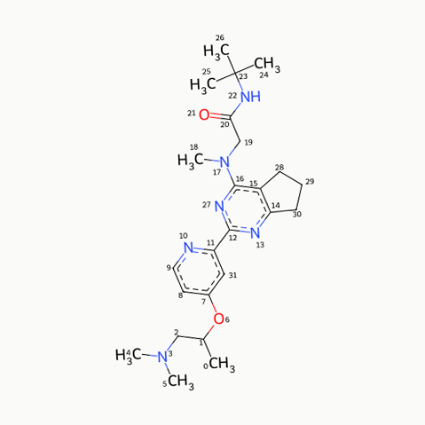 CC(CN(C)C)Oc1ccnc(-c2nc3c(c(N(C)CC(=O)NC(C)(C)C)n2)CCC3)c1